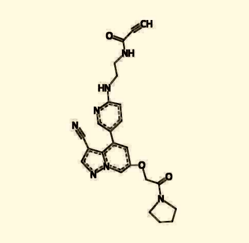 C#CC(=O)NCCNc1ccc(-c2cc(OCC(=O)N3CCCC3)cn3ncc(C#N)c23)cn1